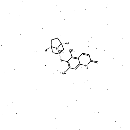 Cc1cc2[nH]c(=O)ccc2c(C)c1S[C@@H]1C[C@H]2CC[C@@H](C1)N2C